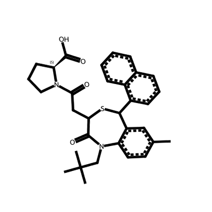 Cc1ccc2c(c1)C(c1cccc3ccccc13)SC(CC(=O)N1CCC[C@H]1C(=O)O)C(=O)N2CC(C)(C)C